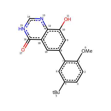 COc1ccc(C(C)(C)C)cc1-c1cc(O)c2nc[nH]c(=O)c2c1